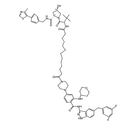 Cc1ncsc1-c1ccc(CNC(=O)[C@@H]2C[C@@H](O)CN2C(=O)C(NC(=O)CCCCCCCCCCCC(=O)N2CCN(c3ccc(C(=O)Nc4n[nH]c5ccc(Cc6cc(F)cc(F)c6)cc45)c(NC4CCOCC4)c3)CC2)C(C)(C)C)cc1